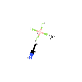 CC#N.F[B-](F)(F)F.[Ir]